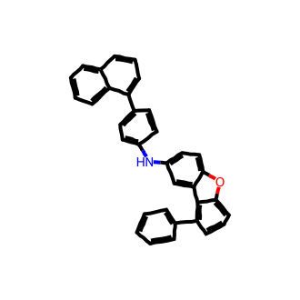 c1ccc(-c2cccc3oc4ccc(Nc5ccc(-c6cccc7ccccc67)cc5)cc4c23)cc1